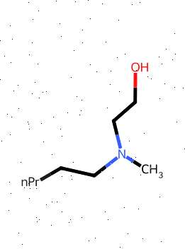 CCCCCN(C)CCO